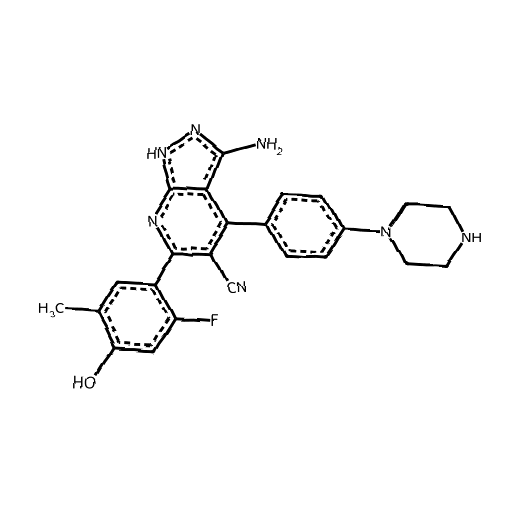 Cc1cc(-c2nc3[nH]nc(N)c3c(-c3ccc(N4CCNCC4)cc3)c2C#N)c(F)cc1O